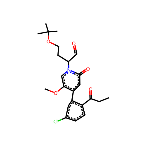 CCC(=O)c1ccc(Cl)cc1-c1cc(=O)n(C(C=O)CCOC(C)(C)C)cc1OC